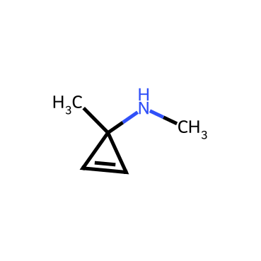 CNC1(C)C=C1